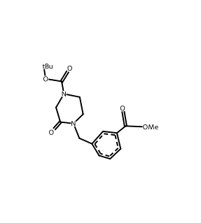 COC(=O)c1cccc(CN2CCN(C(=O)OC(C)(C)C)CC2=O)c1